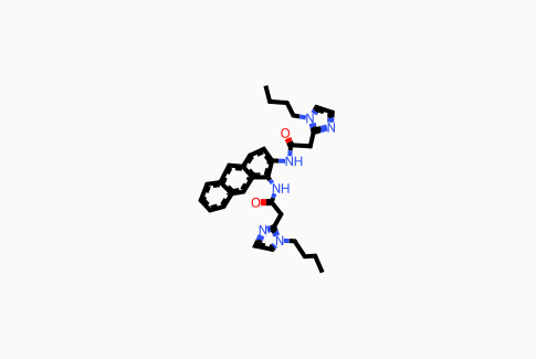 CCCCn1ccnc1CC(=O)Nc1ccc2cc3ccccc3cc2c1NC(=O)Cc1nccn1CCCC